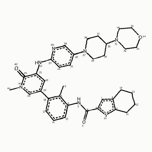 Cc1c(NC(=O)c2cc3c(s2)CCCC3)cccc1-c1cc(Nc2ccc(N3CCC(N4CCOCC4)CC3)cn2)c(=O)n(C)c1